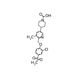 Cc1cc(C2CCN(C(=O)O)CC2)cnc1COc1ccc(S(C)(=O)=O)cc1Cl